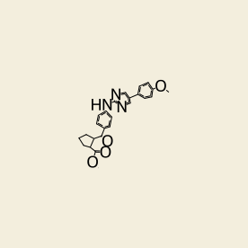 COC(=O)C1CCCC1C(=O)c1ccc(Nc2ncc(-c3ccc(OC)cc3)cn2)cc1